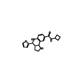 O=C(NC1CCC1)c1ccc2c(c1)C1NCCC1C(c1ccco1)N2